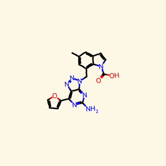 Cc1cc(Cn2nnc3c(-c4ccco4)nc(N)nc32)c2c(ccn2C(=O)O)c1